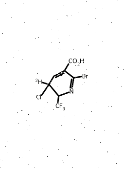 [2H]C1(Cl)C=C(C(=O)O)C(Br)=NC1C(F)(F)F